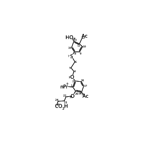 CCCc1c(OCCCSc2ccc(C(C)=O)c(O)c2)ccc(C(C)=O)c1OCCCC(=O)O